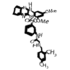 COc1cc(Nc2nc3ccccc3nc2NS(=O)(=O)c2cccc(NC(=O)CNCc3ccc(C)cc3C)c2)cc(OC)c1